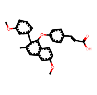 COc1cccc(-c2c(C)cc3cc(OC)ccc3c2Oc2ccc(C=CC(=O)O)cc2)c1